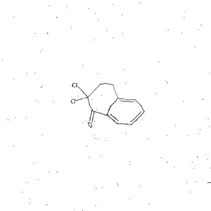 O=C1c2ccccc2CCC1(Cl)Cl